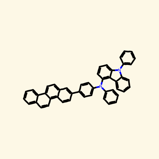 c1ccc(N(c2ccc(-c3ccc4c(ccc5c6ccccc6ccc45)c3)cc2)c2cccc3c2c2ccccc2n3-c2ccccc2)cc1